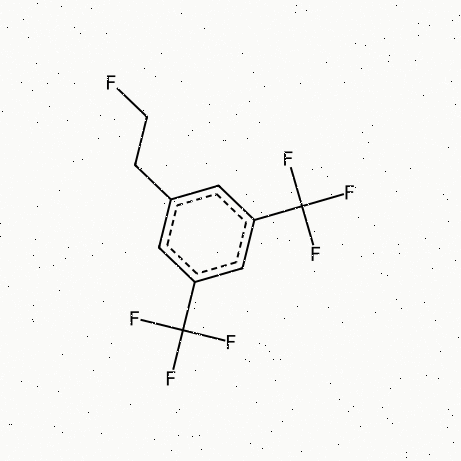 FCCc1cc(C(F)(F)F)cc(C(F)(F)F)c1